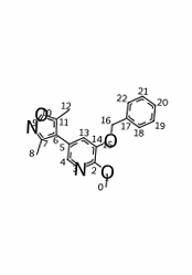 COc1ncc(-c2c(C)noc2C)cc1OCc1ccccc1